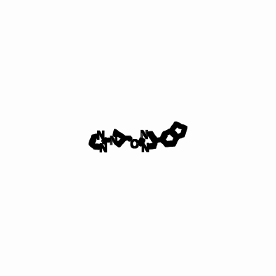 c1cnc(N2CC(COc3ncc(-c4ccc5c(c4)CCC5)cn3)C2)nc1